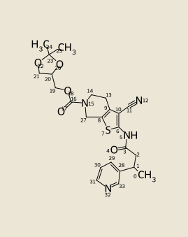 CC(CC(=O)Nc1sc2c(c1C#N)CCN(C(=O)OCC1COC(C)(C)O1)C2)c1cccnc1